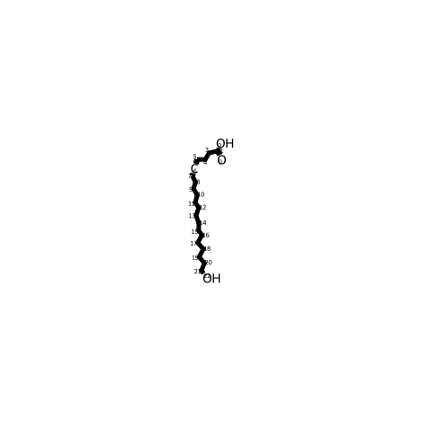 O=C(O)CCC=C=CCCCCCCCCCCCCCCO